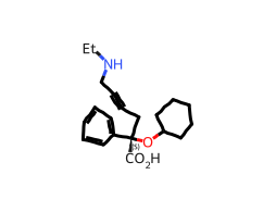 CCNCC#CC[C@@](OC1CCCCC1)(C(=O)O)c1ccccc1